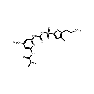 COCCc1sc(S(=O)(=O)NC(=O)Nc2cc(OC)cc(NC(=O)N(C)C)n2)cc1C